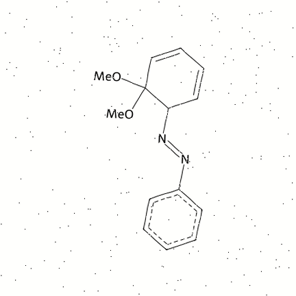 COC1(OC)C=CC=CC1/N=N/c1ccccc1